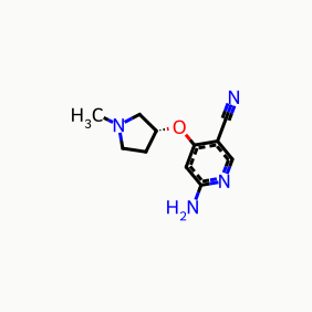 CN1CC[C@@H](Oc2cc(N)ncc2C#N)C1